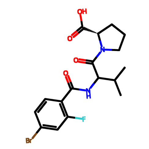 CC(C)C(NC(=O)c1ccc(Br)cc1F)C(=O)N1CCC[C@H]1C(=O)O